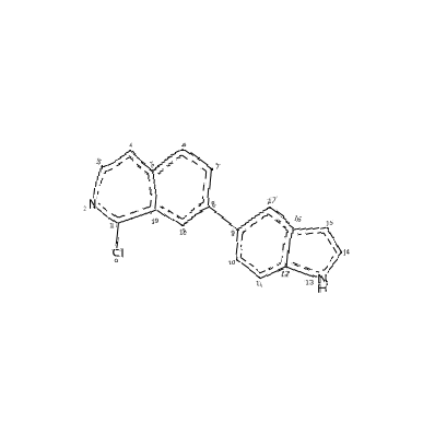 Clc1nccc2ccc(-c3ccc4[nH]ccc4c3)cc12